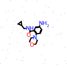 Nc1ccc(N2CCOCC2)c(C(=O)NCC2CC2)c1